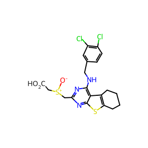 O=C(O)C[S+]([O-])Cc1nc(NCc2ccc(Cl)c(Cl)c2)c2c3c(sc2n1)CCCC3